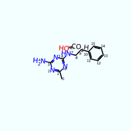 Cc1nc(N)nc(NCCc2ccccc2)n1.O=C(O)O